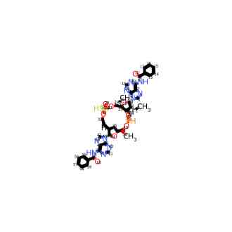 CC[C@H]1[C@H](n2cnc3c(NC(=O)c4ccccc4)ncnc32)O[C@]2(CC)COP(=O)(S)OCC[C@@H]3C[C@@](CC)(COPO[C@@H]12)O[C@H]3n1cnc2c(NC(=O)c3ccccc3)ncnc21